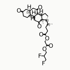 C[C@H](CCC(=O)OCC(=O)OCC(F)CF)[C@H]1CC[C@H]2[C@@H]3C(=O)C[C@@H]4CC(=O)CC[C@]4(C)[C@H]3CC(=O)[C@]12C